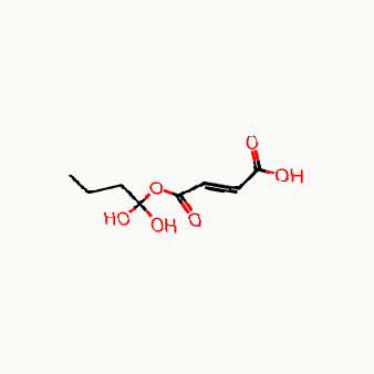 CCCC(O)(O)OC(=O)/C=C/C(=O)O